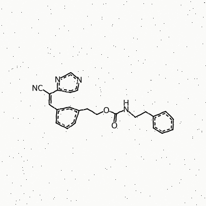 N#CC(=Cc1cccc(CCOC(=O)NCCc2ccccc2)c1)c1ccncn1